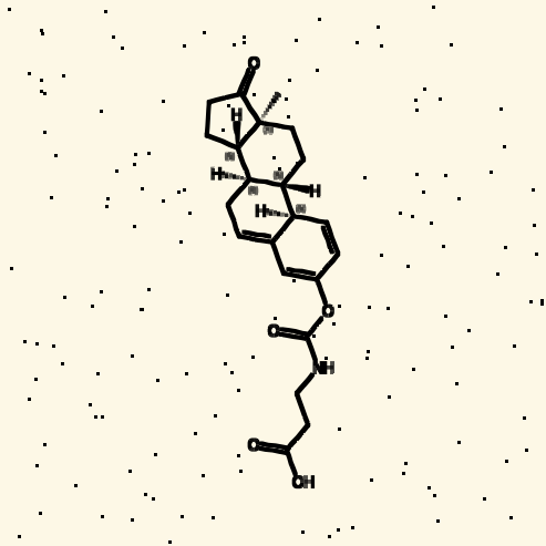 C[C@]12CC[C@H]3[C@@H](CC=C4C=C(OC(=O)NCCC(=O)O)C=C[C@@H]43)[C@@H]1CCC2=O